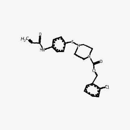 C=CC(=O)Nc1ccc(SN2CCN(C(=O)OCc3ccccc3Cl)CC2)cc1